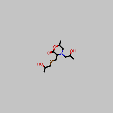 CC(O)CSCC1C(=O)OC(C)CN1CC(C)O